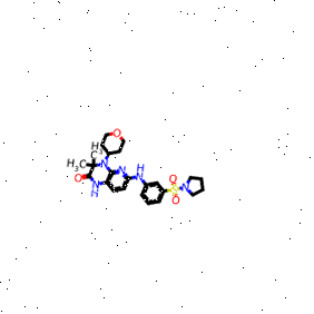 CC1(C)C(=O)Nc2ccc(Nc3cccc(S(=O)(=O)N4CCCC4)c3)nc2N1C1CCOCC1